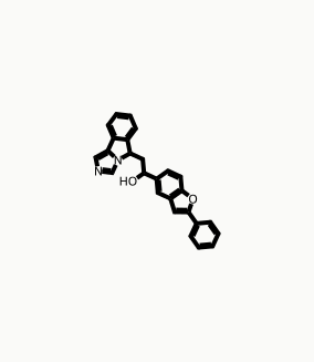 OC(CC1c2ccccc2-c2cncn21)c1ccc2oc(-c3ccccc3)cc2c1